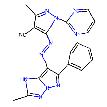 Cc1nn2nc(-c3ccccc3)c(/N=N/c3c(C#N)c(C)nn3-c3ncccn3)c2[nH]1